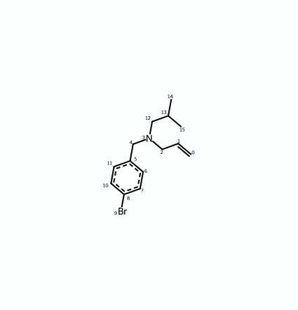 C=CCN(Cc1ccc(Br)cc1)CC(C)C